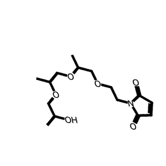 CC(O)COC(C)COC(C)COCCN1C(=O)C=CC1=O